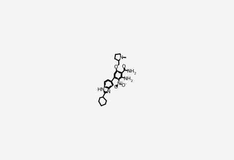 CN1CCCC1COc1cc(-c2ccc3[nH]c(C4CCCCC4)nc3c2)c([N+](=O)[O-])c(N)c1C(N)=O